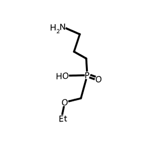 CCOCP(=O)(O)CCCN